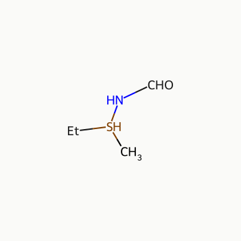 CC[SH](C)NC=O